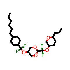 CCCCCCC1CCC(C(F)(F)OC2COC(C(F)(F)OC3CCC(CCC)OC3)OC2)CC1